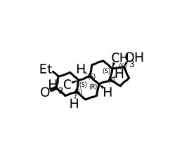 CCC1C[C@@]2(C)[C@@H](CC[C@@H]3[C@@H]2CC[C@]2(C)[C@@H](O)CC[C@@H]32)CC1=O